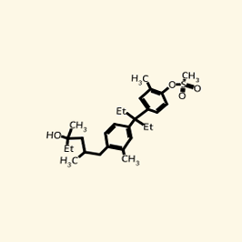 CCC(C)(O)CC(C)Cc1ccc(C(CC)(CC)c2ccc(OS(C)(=O)=O)c(C)c2)cc1C